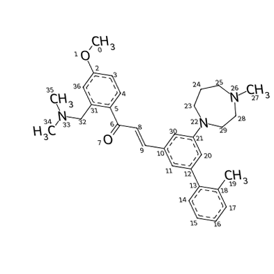 COc1ccc(C(=O)C=Cc2cc(-c3ccccc3C)cc(N3CCCN(C)CC3)c2)c(CN(C)C)c1